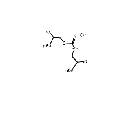 CCCCC(CC)CNC(=S)SCC(CC)CCCC.[Cu]